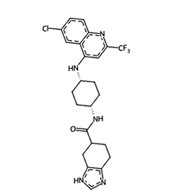 O=C(N[C@H]1CC[C@@H](Nc2cc(C(F)(F)F)nc3ccc(Cl)cc23)CC1)C1CCc2nc[nH]c2C1